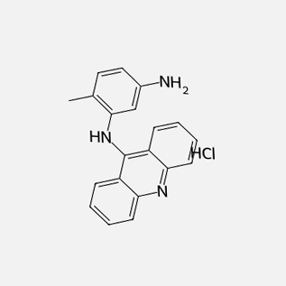 Cc1ccc(N)cc1Nc1c2ccccc2nc2ccccc12.Cl